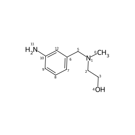 CN(CCO)Cc1cccc(N)c1